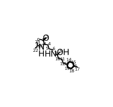 CC(=O)C(CCCNC(O)CCCc1ccc(C)cc1)NC(C)C